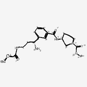 CC(C)(C)OC(=O)NCC[C@@H](N)c1cccc(C(=O)N[C@H]2CCN(C(=O)OC(C)(C)C)C2)c1